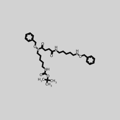 CC(C)(C)OC(=O)NCCCCCN(OCc1ccccc1)C(=O)CCC(=O)NCCCCCNOCc1ccccc1